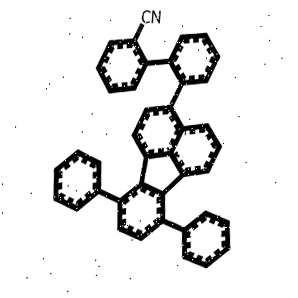 N#Cc1ccccc1-c1ccccc1-c1ccc2c3c(cccc13)-c1c(-c3ccccc3)ccc(-c3ccccc3)c1-2